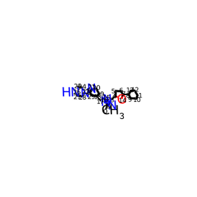 Cc1nc(-c2ccc(-c3ccccc3)o2)nn1Cc1ccnc(N2CCNCC2)c1